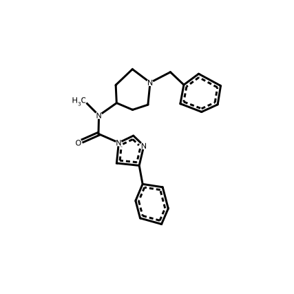 CN(C(=O)n1cnc(-c2ccccc2)c1)C1CCN(Cc2ccccc2)CC1